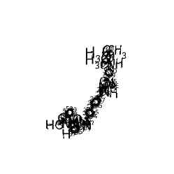 CC(C)(C)OC(=O)N[C@H]1CC[C@@H](C(=O)N2CCC[C@H]2c2ncc(-c3ccc(-c4ccc(-c5cnc([C@@H]6CCCN6C(=O)[C@H](NC(=O)O)c6ccccc6)[nH]5)cc4)cc3)[nH]2)CC1